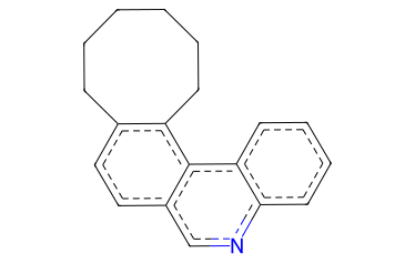 c1ccc2c(c1)ncc1ccc3c(c12)CCCCCC3